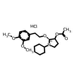 COc1ccc(CCO[C@H]2C(OC(C)=O)CCN2C2CCCCC2)cc1OC.Cl